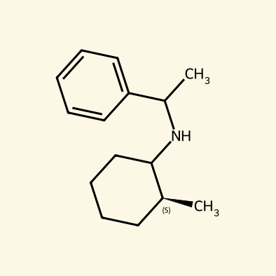 CC(NC1CCCC[C@@H]1C)c1ccccc1